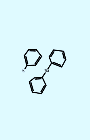 [K][c]1ccccc1.c1cc[c]([Ba][c]2ccccc2)cc1